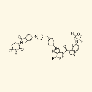 O=C1CCN(N2Cc3cc(N4CCC(CN5CCC(n6cc(NC(=O)c7cnn8ccc(N9C[C@H]%10C[C@@H]9CO%10)nc78)c(C(F)F)n6)CC5)CC4)ccc3C2=O)C(=O)N1